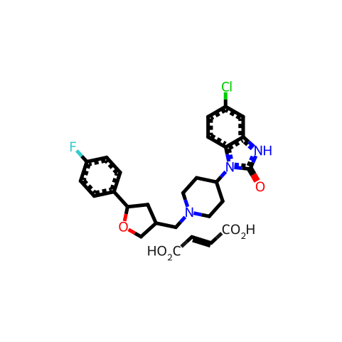 O=C(O)C=CC(=O)O.O=c1[nH]c2cc(Cl)ccc2n1C1CCN(CC2COC(c3ccc(F)cc3)C2)CC1